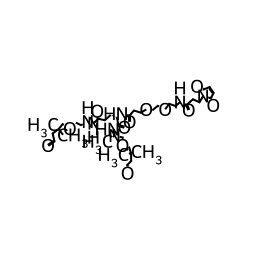 CN(COCC(C)(C)CC=O)NC(=O)[C@H](CCC(=O)NNCCOCC(C)(C)CC=O)NC(=O)CCOCCOCCNC(=O)CCN1C(=O)C=CC1=O